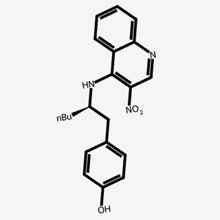 CCCC[C@H](Cc1ccc(O)cc1)Nc1c([N+](=O)[O-])cnc2ccccc12